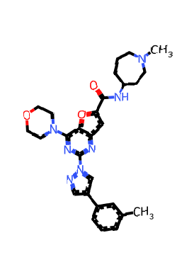 Cc1cccc(-c2cnn(-c3nc(N4CCOCC4)c4oc(C(=O)NC5CCCN(C)CC5)cc4n3)c2)c1